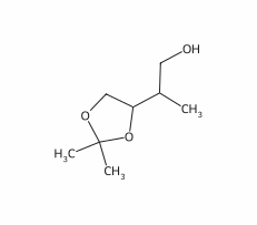 CC(CO)C1COC(C)(C)O1